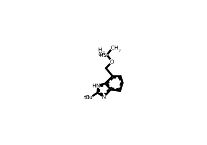 C[SiH](C)OCc1cccc2nc(C(C)(C)C)[nH]c12